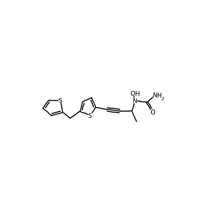 CC(C#Cc1ccc(Cc2cccs2)s1)N(O)C(N)=O